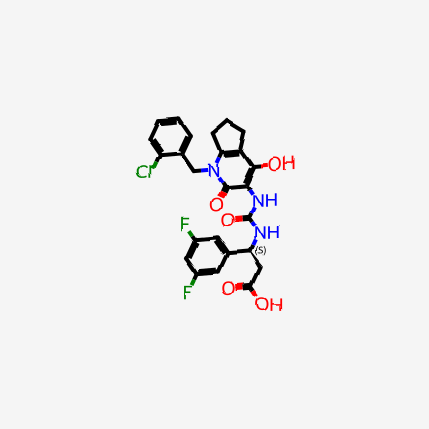 O=C(O)C[C@H](NC(=O)Nc1c(O)c2c(n(Cc3ccccc3Cl)c1=O)CCC2)c1cc(F)cc(F)c1